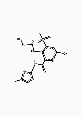 Cc1csc(NC(=O)c2nc(O)cc(S(C)(=O)=O)c2NC(=O)OC(C)(C)C)n1